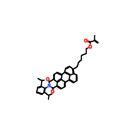 C=C(C)C(=O)OCCCCCCc1ccc2c3ccc4c5c(ccc(c6cccc1c62)c53)C(=O)N(c1c(C(C)C)cccc1C(C)C)C4=O